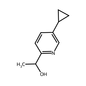 CC(O)c1ccc(C2CC2)cn1